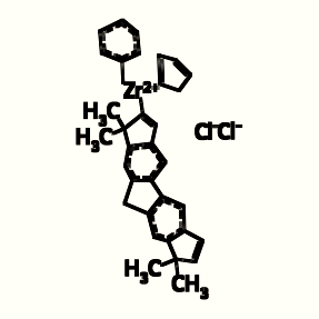 CC1(C)C=Cc2cc3c(cc21)Cc1cc2c(cc1-3)C=[C]([Zr+2](=[CH]c1ccccc1)[C]1=CC=CC1)C2(C)C.[Cl-].[Cl-]